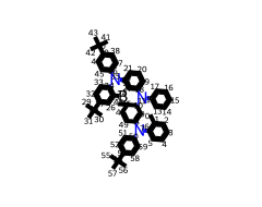 Cc1ccccc1N(C1=CC2N(c3ccccc3)c3cccc4c3B(c3cc(C(C)(C)C)ccc3N4c3ccc(C(C)(C)C)cc3)C2(C)C=C1)c1ccc(C(C)(C)C)cc1